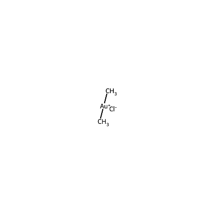 [CH3][Au+][CH3].[Cl-]